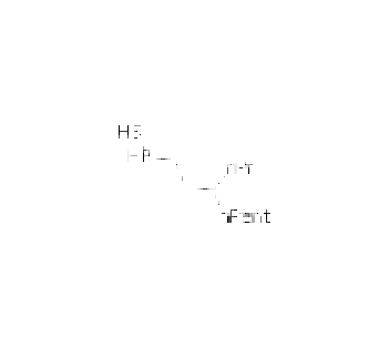 CCCCCC(CCC)CCBS